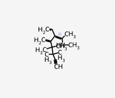 C#CC(C)(C)C(C)(C)C(=C)/C(C=C)=C(/C)NC